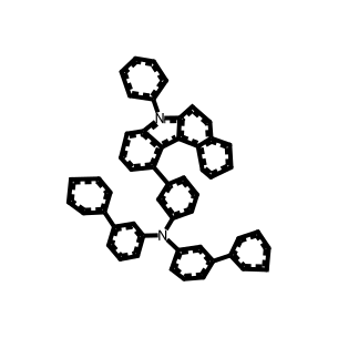 c1ccc(-c2cccc(N(c3cccc(-c4ccccc4)c3)c3cccc(-c4cccc5c4c4c6ccccc6ccc4n5-c4ccccc4)c3)c2)cc1